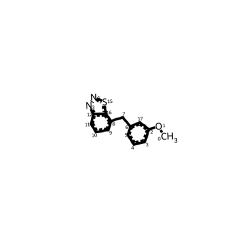 COc1cccc(Cc2cccc3nnsc23)c1